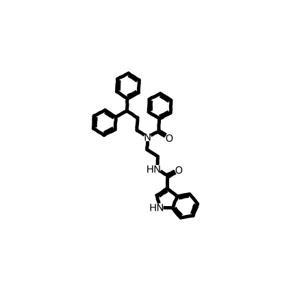 O=C(NCCN(CCC(c1ccccc1)c1ccccc1)C(=O)c1ccccc1)c1c[nH]c2ccccc12